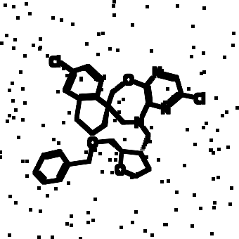 Clc1ccc2c(c1)CCC[C@]21COc2ncc(Cl)nc2N(C[C@@H]2CCO[C@H]2COCc2ccccc2)C1